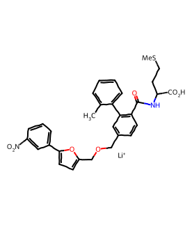 CSCCC(NC(=O)c1ccc(COCc2ccc(-c3cccc([N+](=O)[O-])c3)o2)cc1-c1ccccc1C)C(=O)O.[Li+]